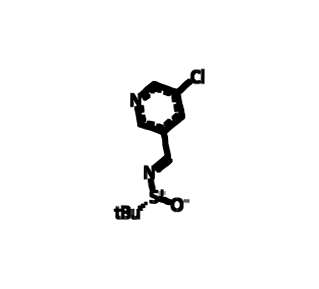 CC(C)(C)[S@@+]([O-])N=Cc1cncc(Cl)c1